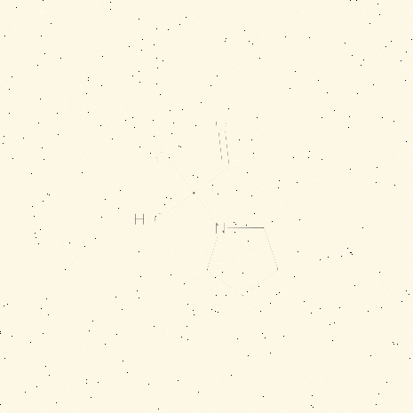 CC(Cl)(C=O)N1CCCC1